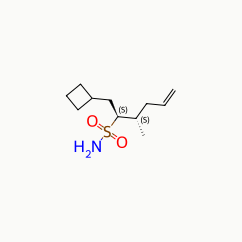 C=CC[C@H](C)[C@H](CC1CCC1)S(N)(=O)=O